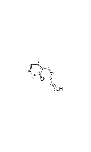 C#CC1C=Cc2ccccc2O1